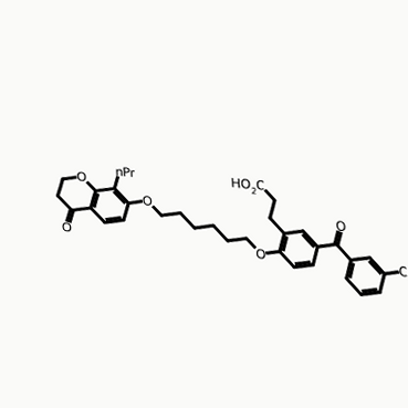 CCCc1c(OCCCCCCOc2ccc(C(=O)c3cccc(C(=O)O)c3)cc2CCC(=O)O)ccc2c1OCCC2=O